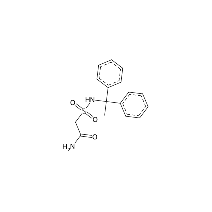 CC(NS(=O)(=O)CC(N)=O)(c1ccccc1)c1ccccc1